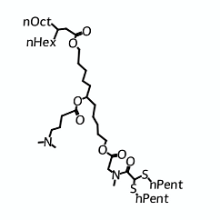 CCCCCCCCC(CCCCCC)CC(=O)OCCCCCC(CCCCCOC(=O)CN(C)C(=O)C(SCCCCC)SCCCCC)OC(=O)CCCN(C)C